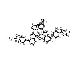 Cc1ccc(C2=Cc3c(-c4ccc(C(C)(C)C)cc4)cccc3C2[Si](C)(C)C2C(c3ccc(C)o3)=Cc3c(-c4ccc(C(C)(C)C)cc4)cccc32)o1